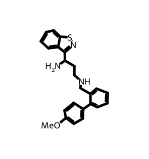 COc1ccc(-c2ccccc2CNCCC(N)c2nsc3ccccc23)cc1